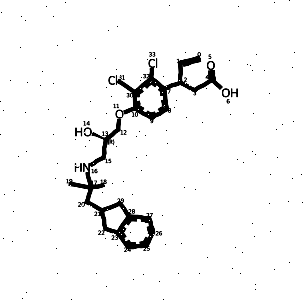 C=CC(CC(=O)O)c1ccc(OC[C@H](O)CNC(C)(C)CC2Cc3ccccc3C2)c(Cl)c1Cl